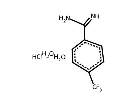 Cl.N=C(N)c1ccc(C(F)(F)F)cc1.O.O